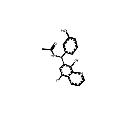 CC(=O)NC(c1cccc(O)c1)c1cc(Cl)c2cccnc2c1O